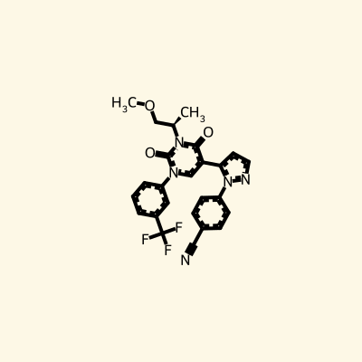 COC[C@@H](C)n1c(=O)c(-c2ccnn2-c2ccc(C#N)cc2)cn(-c2cccc(C(F)(F)F)c2)c1=O